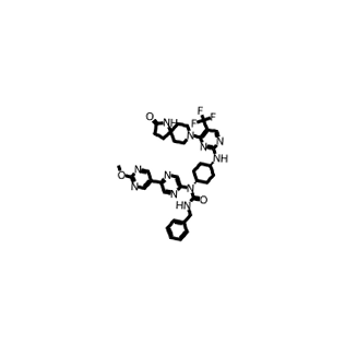 COc1ncc(-c2cnc(N(C(=O)NCc3ccccc3)[C@H]3CC[C@H](Nc4ncc(C(F)(F)F)c(N5CCC6(CCC(=O)N6)CC5)n4)CC3)cn2)cn1